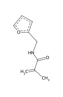 C=C(C)C(=O)NCc1ccco1